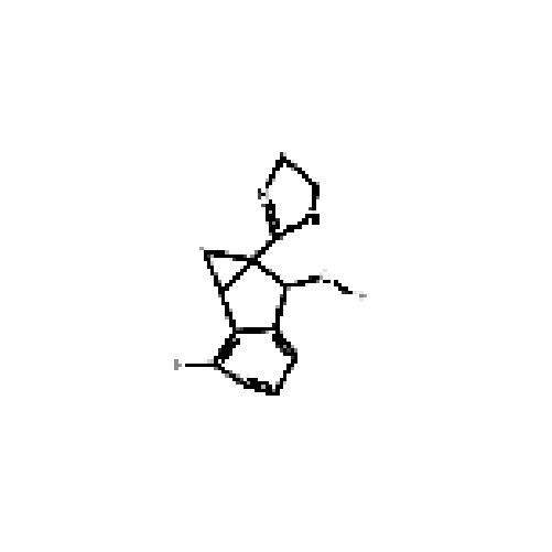 COC1c2cccc(F)c2C2CC21C1=NCCN1